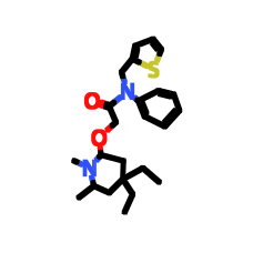 CCC1(CC)CC(C)N(C)C(OCC(=O)N(Cc2cccs2)c2ccccc2)C1